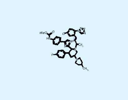 COC(=O)Nc1ccc(-c2c[nH]c(C3C(c4ccc(F)cc4)CC(N4CCC(C)CC4)CN3C(C)/C=C/c3cc(Cl)ccc3-n3cnnn3)n2)cc1